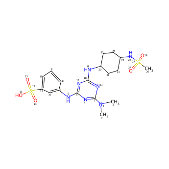 CN(C)c1nc(Nc2cccc(S(=O)(=O)O)c2)nc(NC2CCC(NS(C)(=O)=O)CC2)n1